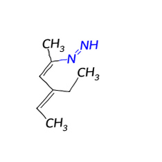 C/C=C(/C=C(/C)N=N)CC